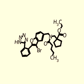 CCCCC(=O)N(Cc1ccc2oc(-c3ccccc3-c3nnn[nH]3)c(Br)c2c1)CC1(C(=O)OCC)CCCC1